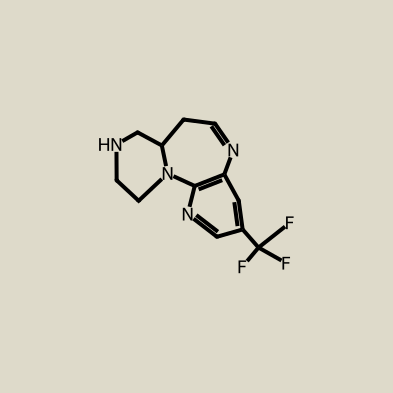 FC(F)(F)c1cnc2c(c1)N=CCC1CNCCN21